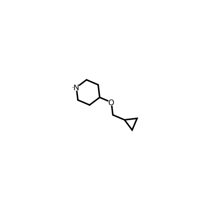 C1CC(OCC2CC2)CC[N]1